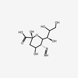 N=N[C@@H]1C(O)C[C@](O)(C(=O)O)OC1[C@H](O)C(O)CO